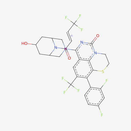 O=C(/C=C/C(F)(F)F)N1C2CC(O)CC1CN(c1nc(=O)n3c4c(c(-c5ccc(F)cc5F)c(C(F)(F)F)cc14)SCC3)C2